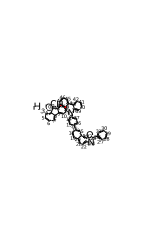 CC1(C)c2ccccc2-c2cc(N(c3ccc(-c4ccc5ccc6nc(-c7ccccc7)oc6c5c4)cc3)c3ccccc3-c3ccccc3)ccc21